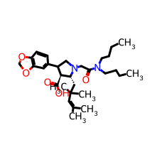 CCCCN(CCCC)C(=O)CN1CC(c2ccc3c(c2)OCO3)[C@H](C(=O)O)[C@H]1CC(C)(C)C=C(C)C